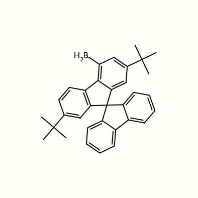 Bc1cc(C(C)(C)C)cc2c1-c1ccc(C(C)(C)C)cc1C21c2ccccc2-c2ccccc21